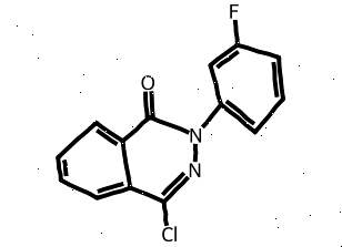 O=c1c2ccccc2c(Cl)nn1-c1cccc(F)c1